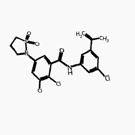 C=C(C)c1cc(Cl)cc(NC(=O)c2cc(N3CCCS3(=O)=O)cc(Cl)c2Cl)c1